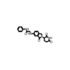 O=C1CCC(N2Cc3ccc(NCC(=O)Nc4ccccc4)cc3C2=O)C(=O)N1